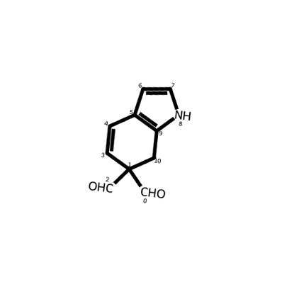 O=CC1(C=O)C=Cc2cc[nH]c2C1